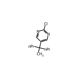 CCCC(C)(CCC)c1cnc(Cl)nc1